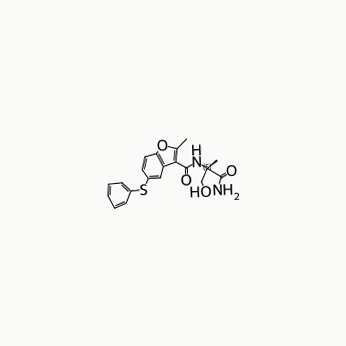 Cc1oc2ccc(Sc3ccccc3)cc2c1C(=O)N[C@@](C)(CO)C(N)=O